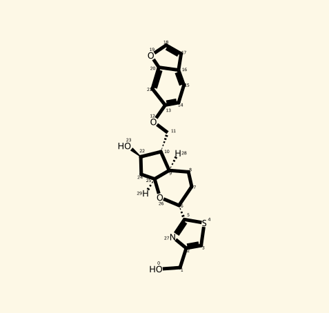 OCc1csc([C@H]2CC[C@@H]3[C@@H](COc4ccc5ccoc5c4)[C@H](O)C[C@@H]3O2)n1